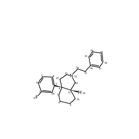 Fc1cccc([C@]23CCCC[C@H]2CN(CCc2ccccc2)CC3)c1